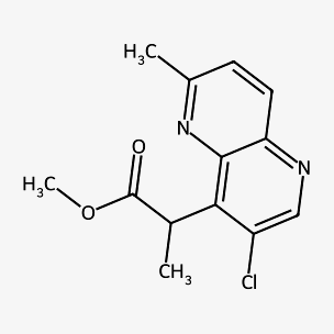 COC(=O)C(C)c1c(Cl)cnc2ccc(C)nc12